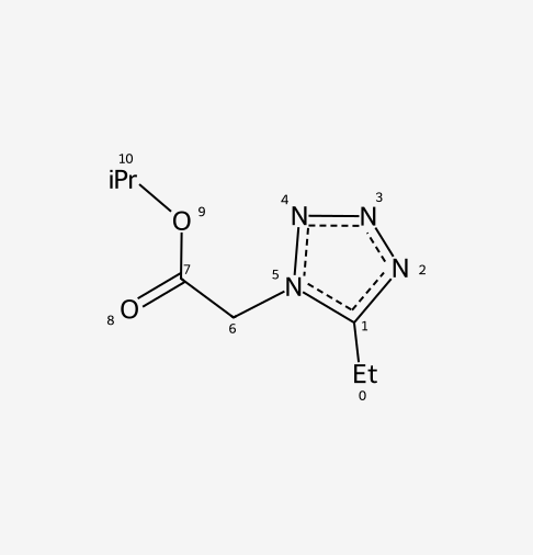 CCc1nnnn1CC(=O)OC(C)C